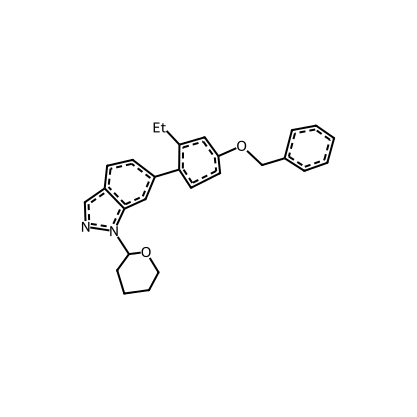 CCc1cc(OCc2ccccc2)ccc1-c1ccc2cnn(C3CCCCO3)c2c1